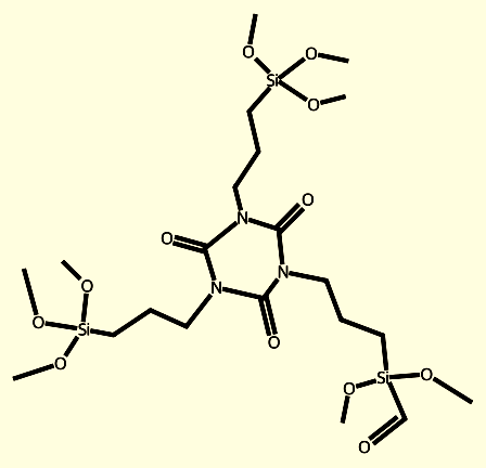 CO[Si](C=O)(CCCn1c(=O)n(CCC[Si](OC)(OC)OC)c(=O)n(CCC[Si](OC)(OC)OC)c1=O)OC